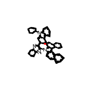 C1=CC(n2c3ccccc3c3ccc(-c4nc5ccccc5nc4-n4c5ccc6ccccc6c5c5c6ccccc6ccc54)cc32)=CCC1